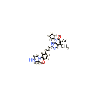 CC(=O)c1c(C)c2cnc(CCCc3ccc4c(c3)N3CCNC[C@H]3CO4)nc2n(C2CCCC2)c1=O